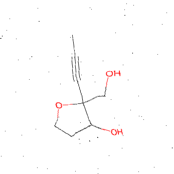 CC#CC1(CO)OCCC1O